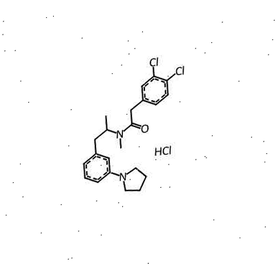 CC(Cc1cccc(N2CCCC2)c1)N(C)C(=O)Cc1ccc(Cl)c(Cl)c1.Cl